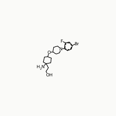 NC1(CCO)CCC(OC2CCN(c3ccc(Br)cc3F)CC2)CC1